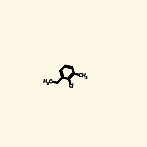 C[CH]c1cccc(C)c1Cl